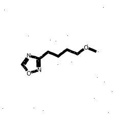 [CH2]OCCCCc1ncon1